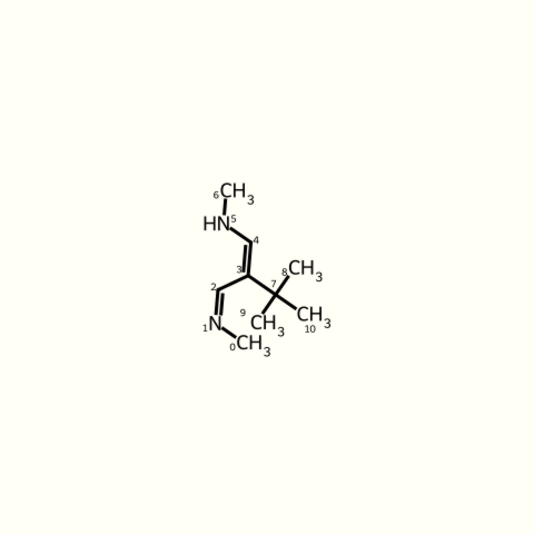 C/N=C\C(=C/NC)C(C)(C)C